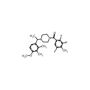 COc1ccc(C(C)N2CCN(C(=O)c3cc(F)c(C)c(F)c3F)CC2)c(C)c1C